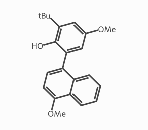 COc1cc(-c2ccc(OC)c3ccccc23)c(O)c(C(C)(C)C)c1